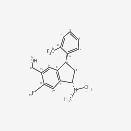 CN(C)[C@H]1C[C@H](c2ccccc2C(F)(F)F)c2cc(CO)c(F)cc21